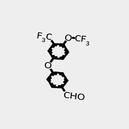 O=Cc1ccc(Oc2ccc(OC(F)(F)F)c(C(F)(F)F)c2)cc1